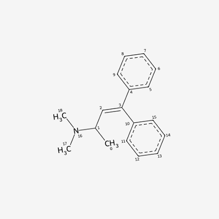 CC(C=C(c1ccccc1)c1ccccc1)N(C)C